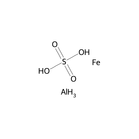 O=S(=O)(O)O.[AlH3].[Fe]